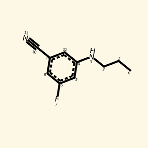 CCCNc1cc(F)cc(C#N)c1